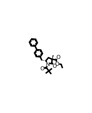 CCOC(=O)[C@@]1(C)C[C@@H](Cc2ccc(-c3ccccc3)cc2)N(C(=O)C(C)(C)C)C1=O